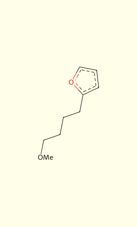 [CH2]OCCCCc1ccco1